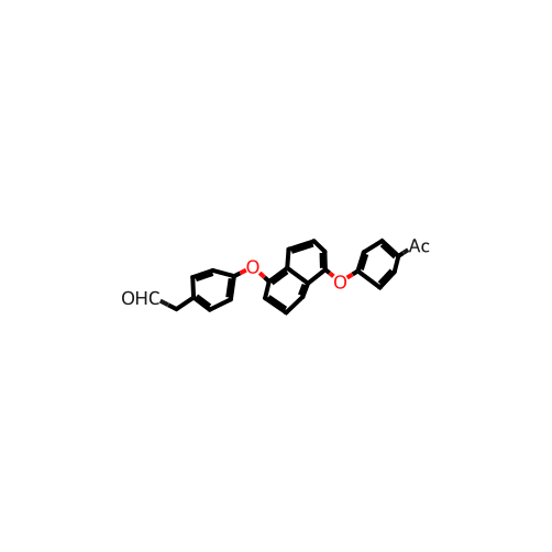 CC(=O)c1ccc(Oc2cccc3c(Oc4ccc(CC=O)cc4)cccc23)cc1